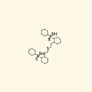 S=P(S)(C1CCCCC1)C1CCCCC1CCSCCC1CCCCC1P(=S)(S)C1CCCCC1